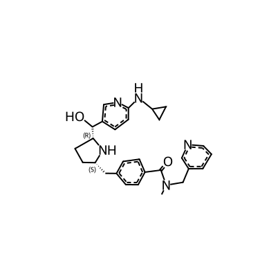 CN(Cc1cccnc1)C(=O)c1ccc(C[C@@H]2CC[C@H](C(O)c3ccc(NC4CC4)nc3)N2)cc1